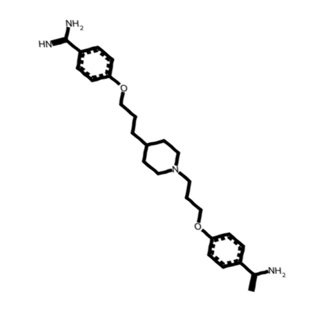 C=C(N)c1ccc(OCCCN2CCC(CCCOc3ccc(C(=N)N)cc3)CC2)cc1